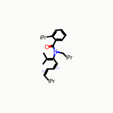 CC(C)=C(/C=C\C=C/C(C)C)N(CC(C)C)C(=O)c1ccccc1C(C)C